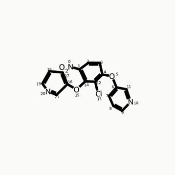 O=[N+]([O-])c1ccc(Oc2cccnc2)c(Cl)c1Oc1cccnc1